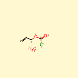 C=CCOC(=O)Cl.O